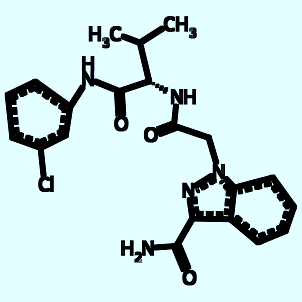 CC(C)[C@H](NC(=O)Cn1nc(C(N)=O)c2ccccc21)C(=O)Nc1cccc(Cl)c1